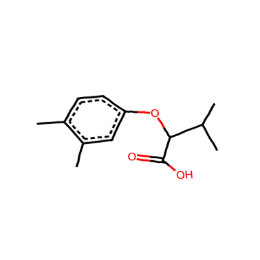 Cc1ccc(OC(C(=O)O)C(C)C)cc1C